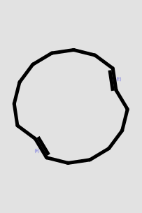 C1=C/CCCCCCC/C=C/CCCCC/1